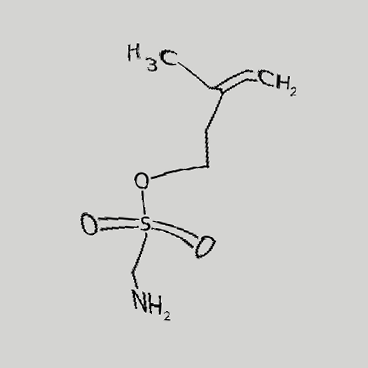 C=C(C)COS(N)(=O)=O